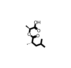 CC(C)C[C@H](C)C(=O)O[C@@H](C)C(=O)O